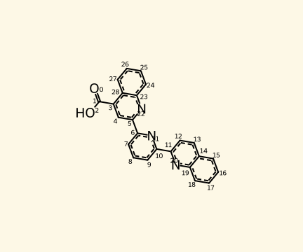 O=C(O)c1cc(-c2cccc(-c3ccc4ccccc4n3)n2)nc2ccccc12